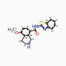 COc1ccc(C(=O)Nc2nc3ccccc3s2)c2c1CCNC2